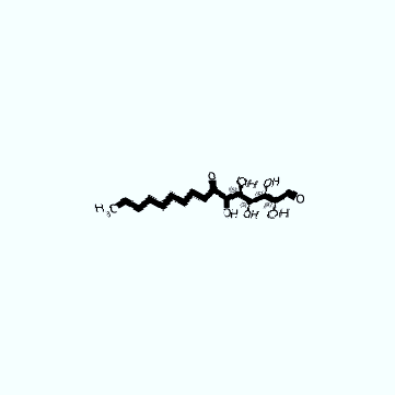 CCCCCCCCCC(=O)C(O)[C@@H](O)[C@@H](O)[C@H](O)[C@@H](O)C=O